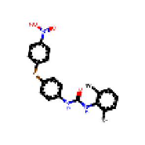 CC(C)c1cccc(C(C)C)c1NC(=O)Nc1ccc(Sc2ccc([N+](=O)O)cc2)cc1